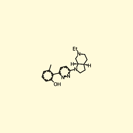 CCN1CC[C@@H]2CCN(c3ccc(-c4c(C)cccc4O)nn3)[C@@H]2C1